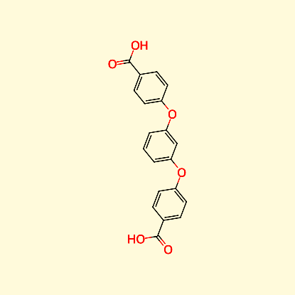 O=C(O)c1ccc(Oc2cccc(Oc3ccc(C(=O)O)cc3)c2)cc1